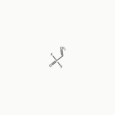 C=CP(=O)(F)F